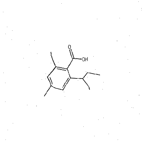 CCC(C)c1cc(C)cc(C)c1C(=O)O